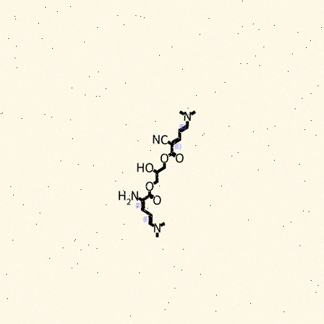 CN(C)/C=C/C=C(/N)C(=O)OCC(O)COC(=O)/C(C#N)=C/C=C/N(C)C